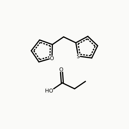 CCC(=O)O.c1coc(Cc2cccs2)c1